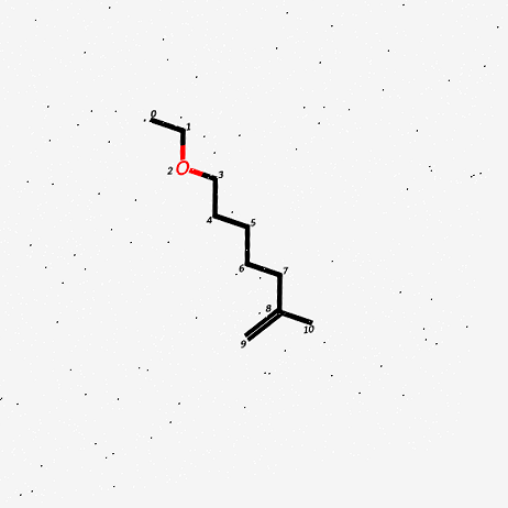 [CH2]COCCCCCC(=C)C